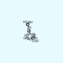 CC(O)[C@H]1C(=O)N2C(C(=O)[O-])=C(S[C@@H]3CN[C@H](C(=O)N(C)CCc4cc[n+](CC(=O)c5ccc(O)c(O)c5)cc4)C3)[C@H](C)[C@H]12